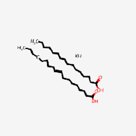 CCCCCCCCC=CCCCCCCCC(=O)O.CCCCCCCCCCCCCCCC(=O)O.[KH]